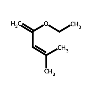 C=C(C=C(C)C)OCC